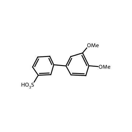 COc1ccc(-c2cccc(S(=O)(=O)O)c2)cc1OC